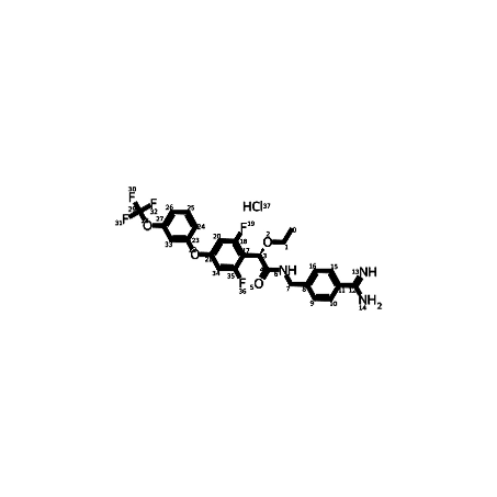 CCO[C@H](C(=O)NCc1ccc(C(=N)N)cc1)c1c(F)cc(Oc2cccc(OC(F)(F)F)c2)cc1F.Cl